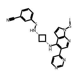 N#Cc1cccc(SN[C@H]2C[C@@H](Nc3c(-c4ccncn4)cnc4c3ccn4SI)C2)c1